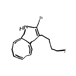 CCc1[nH]c2ccccc2c1CCI